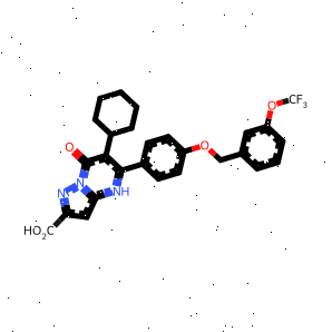 O=C(O)c1cc2[nH]c(-c3ccc(OCc4cccc(OC(F)(F)F)c4)cc3)c(C3CCCCC3)c(=O)n2n1